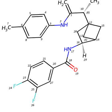 C=C(Nc1ccc(C)cc1)[C@H](C)C12CC(C1)[C@@H](NC(=O)c1ccc(F)c(F)c1)C2